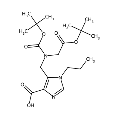 CCCn1cnc(C(=O)O)c1CN(CC(=O)OC(C)(C)C)C(=O)OC(C)(C)C